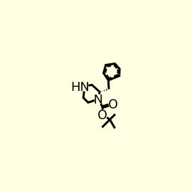 CC(C)(C)OC(=O)N1CCNC[C@@H]1Cc1ccccc1